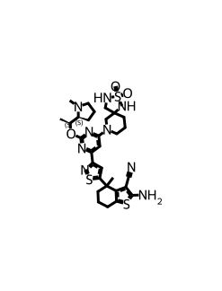 C[C@H](Oc1nc(-c2cc(C3(C)CCCc4sc(N)c(C#N)c43)sn2)cc(N2CCCC3(CNS(=O)(=O)N3)C2)n1)[C@@H]1CCCN1C